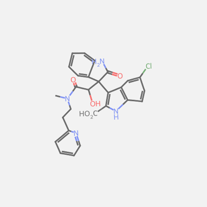 CN(CCc1ccccn1)C(=O)C(O)C(C(N)=O)(c1ccccc1)c1c(C(=O)O)[nH]c2ccc(Cl)cc12